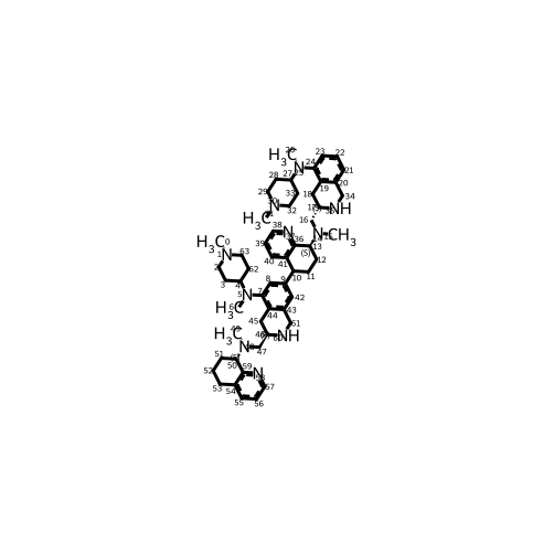 CN1CCC(N(C)c2cc(C3CC[C@H](N(C)C[C@@H]4Cc5c(cccc5N(C)C5CCN(C)CC5)CN4)c4ncccc43)cc3c2C[C@H](CN(C)[C@H]2CCCc4cccnc42)NC3)CC1